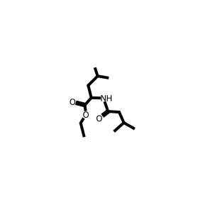 CCOC(=O)C(CC(C)C)NC(=O)CC(C)C